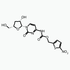 O=C(Nc1ccn([C@@H]2O[C@H](CO)C[C@@H]2O)c(=O)n1)OCc1ccc([N+](=O)[O-])s1